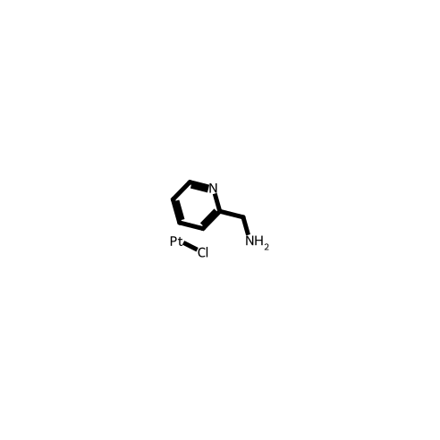 NCc1ccccn1.[Cl][Pt]